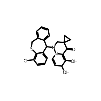 O=C1C2=C(O)C(O)C=CN2N(C2c3ccccc3CSc3c(Cl)cccc32)CC12CC2